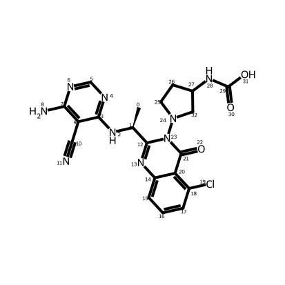 C[C@H](Nc1ncnc(N)c1C#N)c1nc2cccc(Cl)c2c(=O)n1N1CCC(NC(=O)O)C1